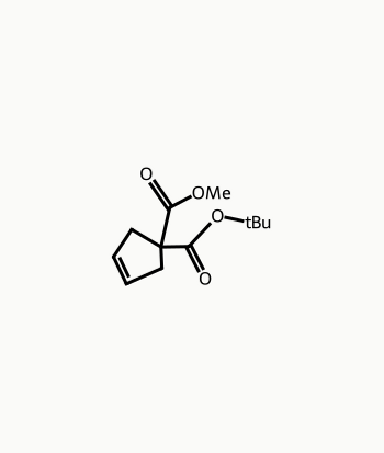 COC(=O)C1(C(=O)OC(C)(C)C)CC=CC1